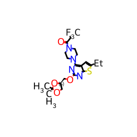 CCc1cc2c(N3CCN(C(=O)CC(F)(F)F)CC3)nc(OC[C@H]3COC(C)(C)O3)nc2s1